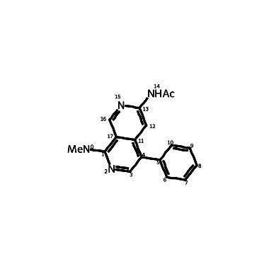 CNc1ncc(-c2ccccc2)c2cc(NC(C)=O)ncc12